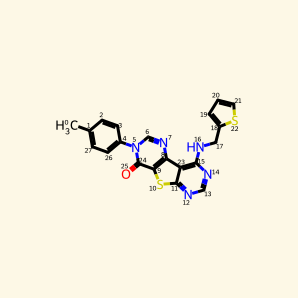 Cc1ccc(-n2cnc3c(sc4ncnc(NCc5cccs5)c43)c2=O)cc1